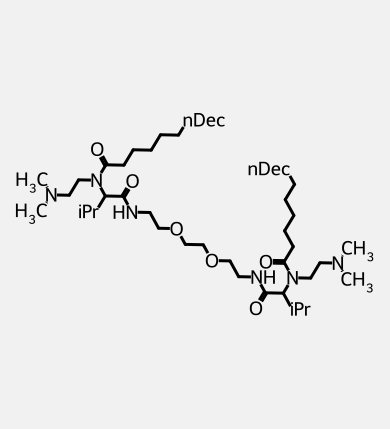 CCCCCCCCCCCCCCCC(=O)N(CCN(C)C)C(C(=O)NCCOCCOCCNC(=O)C(C(C)C)N(CCN(C)C)C(=O)CCCCCCCCCCCCCCC)C(C)C